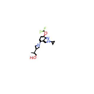 CC(CO)C1CN(c2ccc(OC(F)F)c3nn(C4CC4)cc23)C1